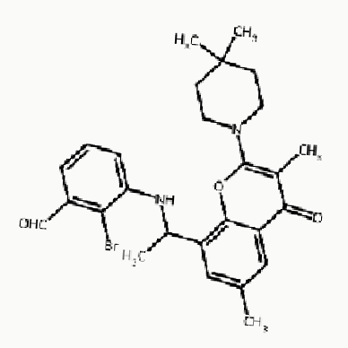 Cc1cc(C(C)Nc2cccc(C=O)c2Br)c2oc(N3CCC(C)(C)CC3)c(C)c(=O)c2c1